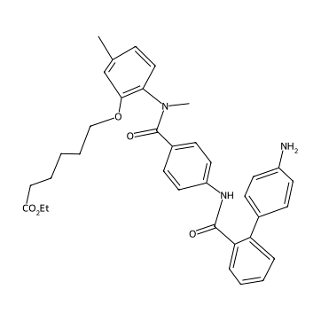 CCOC(=O)CCCCCOc1cc(C)ccc1N(C)C(=O)c1ccc(NC(=O)c2ccccc2-c2ccc(N)cc2)cc1